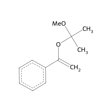 C=C(OC(C)(C)OC)c1ccccc1